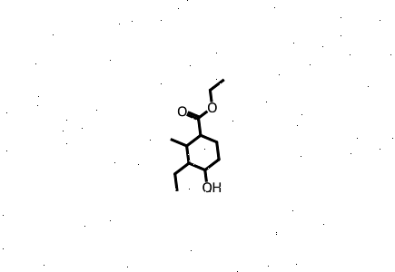 CCOC(=O)C1CCC(O)C(CC)C1C